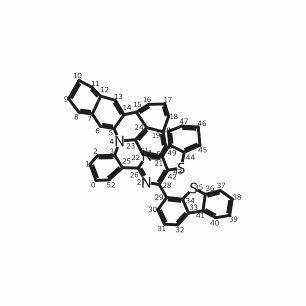 c1ccc(N2c3cc4ccccc4cc3-c3cccc4cccc2c34)c(-c2nc(-c3cccc4c3sc3ccccc34)c3sc4ccccc4c3n2)c1